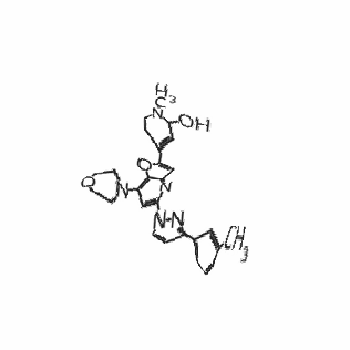 Cc1cccc(-c2ccn(-c3cc(N4CCOCC4)c4oc(C5=CC(O)N(C)CC5)cc4n3)n2)c1